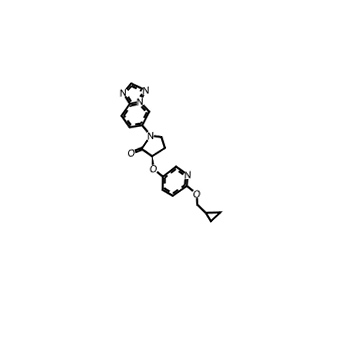 O=C1[C@H](Oc2ccc(OCC3CC3)nc2)CCN1c1ccc2ncnn2c1